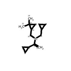 C=C(C1CC1)N(CC1CC1)CC1CC1(C)C